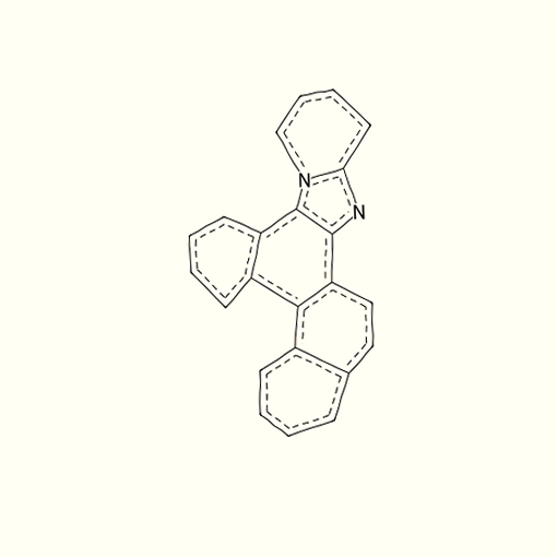 c1ccc2c(c1)ccc1c3nc4ccccn4c3c3ccccc3c21